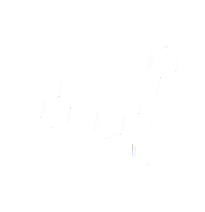 Cc1cc(C)cc(Oc2ccc3c(OCc4ccccc4)c(C(=O)O)n4ncnc4c3c2)c1